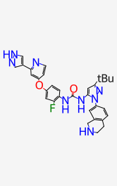 CC(C)(C)c1cc(NC(=O)Nc2ccc(Oc3ccnc(-c4cn[nH]c4)c3)cc2F)n(-c2ccc3c(c2)CNCC3)n1